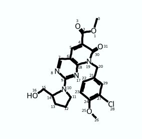 COC(=O)c1cc2cnc(N3CCCC3CO)nc2n(Cc2ccc(OC)c(Cl)c2)c1=O